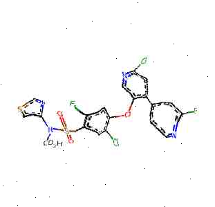 O=C(O)N(c1cscn1)S(=O)(=O)c1cc(Cl)c(Oc2cnc(Cl)cc2-c2ccnc(F)c2)cc1F